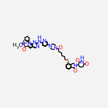 CN(C)C(=O)c1cc2cnc(Nc3ccc(N4CCN(C(=O)CCCCCSc5cccc6c5CN(C5CCC(=O)NC5=O)C6=O)CC4)cn3)nc2n1C1CCCC1